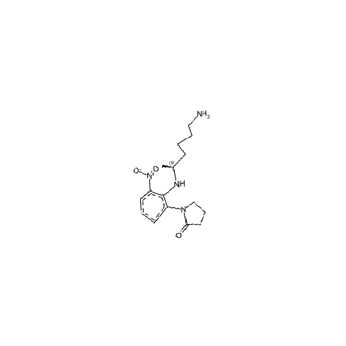 C[C@@H](CCCCN)Nc1c(N2CCCC2=O)cccc1[N+](=O)[O-]